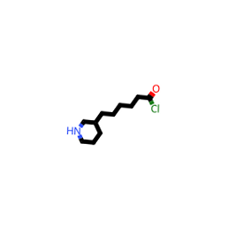 O=C(Cl)CCCCCC1CCCNC1